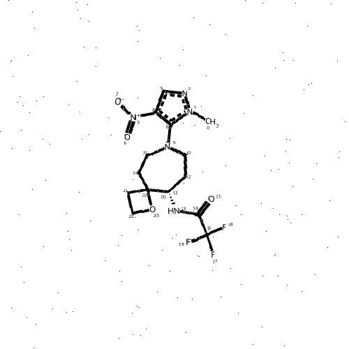 Cn1ncc([N+](=O)[O-])c1N1CC[C@H](NC(=O)C(F)(F)F)C2(CCO2)CC1